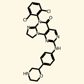 O=C1c2cnc(Nc3ccc(C4CNCCO4)cc3)nc2N2CCN=C2N1c1c(Cl)cccc1Cl